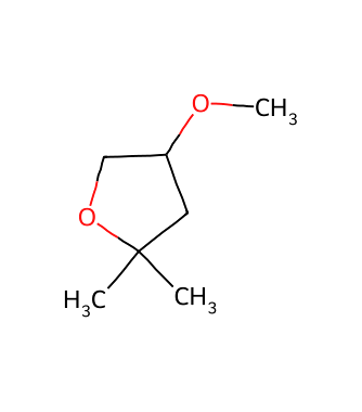 COC1COC(C)(C)C1